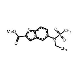 COC(=O)c1cc2cc(N(CC(F)(F)F)S(C)(=O)=O)ccc2s1